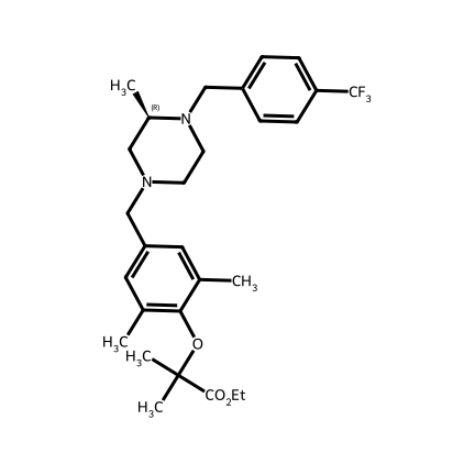 CCOC(=O)C(C)(C)Oc1c(C)cc(CN2CCN(Cc3ccc(C(F)(F)F)cc3)[C@H](C)C2)cc1C